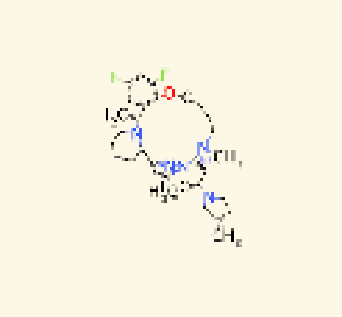 C=C(/C=C1/N(C)CCCCOc2c(F)cc(F)cc2C(=C)N2CCCCC2c2cc(C)n1n2)N1CC[C@H](C)C1